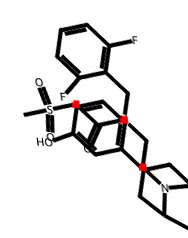 CS(=O)(=O)CC(=O)N(CCN1C2CCC1CC(c1cccc(O)c1)C2)Cc1c(F)cccc1F